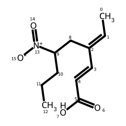 C/C=C(/C=C/C(=O)O)CC(CCC)[N+](=O)[O-]